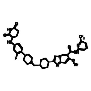 CC(C)Oc1cc2nc([C@H]3CC[C@H](CN4CCC(c5ccc(NC6CCC(=O)NC6=O)cc5F)CC4)CC3)cn2cc1C(=O)Nc1cccc(C(F)(F)F)n1